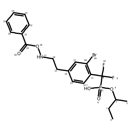 CCC(C)OP(=O)(O)C(F)(F)c1ccc(CCNOC(=O)c2ccccc2)cc1Br